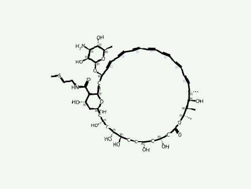 CSCCNC(=O)C1[C@@H]2C[C@@H](O[C@@H]3O[C@H](C)[C@@H](O)[C@H](N)[C@@H]3O)/C=C/C=C/C=C/C=C/C=C/C=C/C=C/[C@H](C)[C@@H](O)[C@@H](C)[C@H](C)OC(=O)C[C@H](O)C[C@H](O)CC[C@@H](O)[C@H](O)C[C@H](O)C[C@](O)(C[C@@H]1O)O2